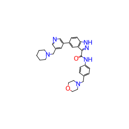 O=C(Nc1ccc(CN2CCOCC2)cc1)c1n[nH]c2ccc(-c3cncc(CN4CCCCC4)c3)cc12